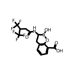 O=C(CC(C(F)(F)F)C(F)(F)F)NC1Cc2cccc(C(=O)O)c2OB1O